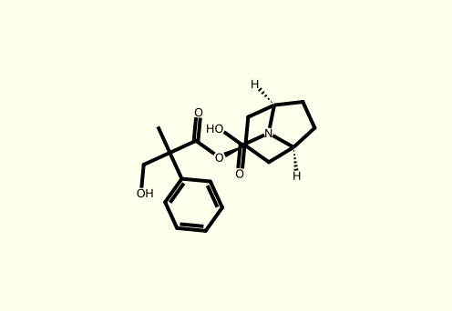 CC(CO)(C(=O)O[C@H]1C[C@H]2CC[C@@H](C1)N2C(=O)O)c1ccccc1